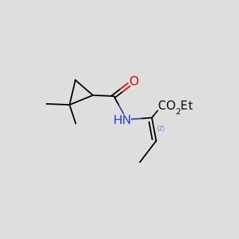 C/C=C(\NC(=O)C1CC1(C)C)C(=O)OCC